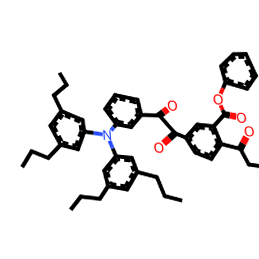 CCCC(=O)c1ccc(C(=O)C(=O)c2cccc(N(c3cc(CCC)cc(CCC)c3)c3cc(CCC)cc(CCC)c3)c2)cc1C(=O)Oc1ccccc1